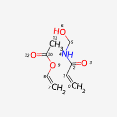 C=CC(=O)NCO.C=COC(C)=O